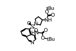 CC(C)(C)OC(=O)Nc1cncc2cccc(S(=O)(=O)N3CCC(NC(=O)OC(C)(C)C)C3)c12